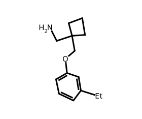 CCc1cccc(OCC2(CN)CCC2)c1